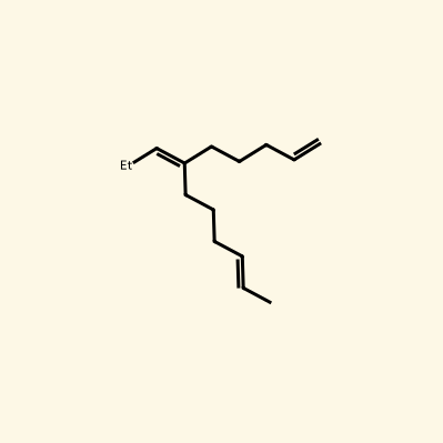 C=CCCCC(=CCC)CCCC=CC